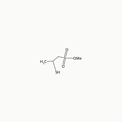 COS(=O)(=O)CC(C)S